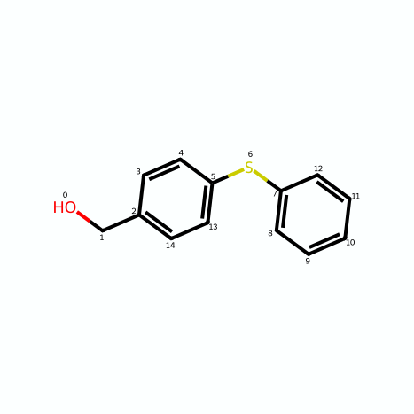 OCc1ccc(Sc2ccccc2)cc1